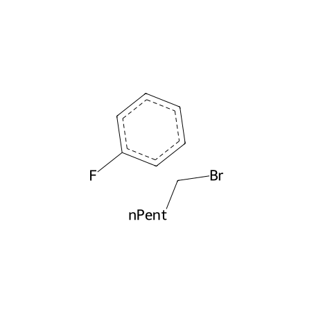 CCCCCCBr.Fc1ccccc1